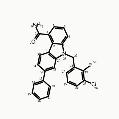 NC(=O)c1cccc2c1c1[c]cc(-c3ccccc3)cc1n2Cc1cccc(Cl)c1F